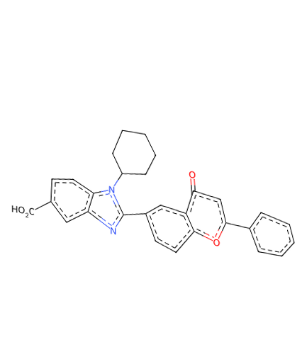 O=C(O)c1ccc2c(c1)nc(-c1ccc3oc(-c4ccccc4)cc(=O)c3c1)n2C1CCCCC1